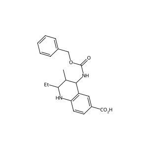 CCC1Nc2ccc(C(=O)O)cc2C(NC(=O)OCc2ccccc2)C1C